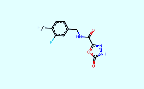 Cc1ccc(CNC(=O)c2n[nH]c(=O)o2)cc1F